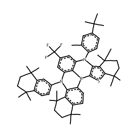 Cc1cc(C(C)(C)C)ccc1N1c2cc(C(F)(F)F)cc3c2B(c2ccc4c(c2N3c2ccc3c(c2)C(C)(C)CCC3(C)C)C(C)(C)CCC4(C)C)c2sc3c(c21)C(C)(C)CCC3(C)C